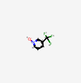 [O-][n+]1[c]c(C(F)(F)F)ccc1